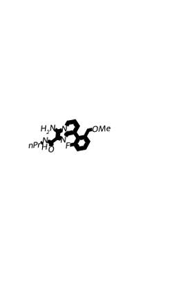 CCCNC(=O)c1nc2c(-c3c(F)cccc3COC)cccn2c1N